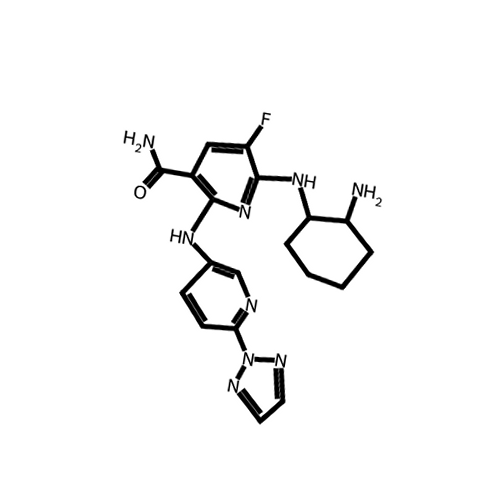 NC(=O)c1cc(F)c(NC2CCCCC2N)nc1Nc1ccc(-n2nccn2)nc1